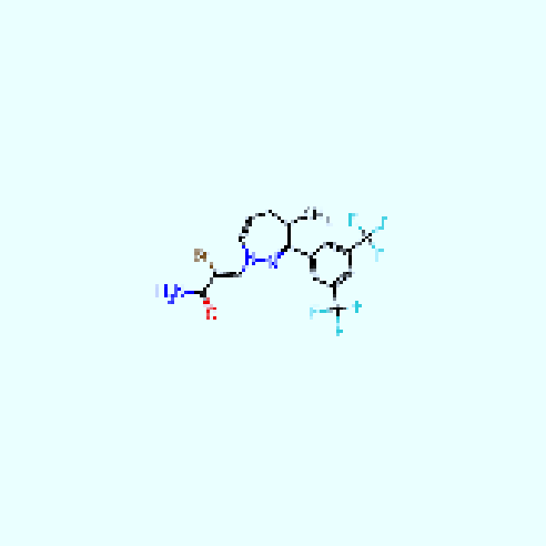 CC1CC=CN(/C=C(\Br)C(N)=O)N=C1c1cc(C(F)(F)F)cc(C(F)(F)F)c1